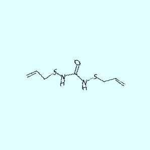 C=CCSNC(=O)NSCC=C